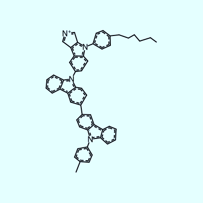 CCCCCCc1ccc(-n2c3c(c4cc(-n5c6ccccc6c6cc(-c7ccc8c(c7)c7ccccc7n8-c7ccc(C)cc7)ccc65)ccc42)C=[N+]=C3)cc1